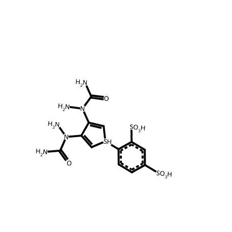 NC(=O)N(N)C1=C[SH](c2ccc(S(=O)(=O)O)cc2S(=O)(=O)O)C=C1N(N)C(N)=O